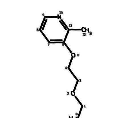 CCOCCOc1cccnc1C